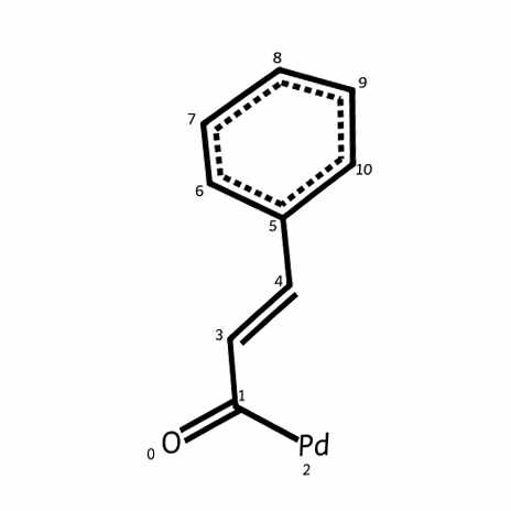 O=[C]([Pd])C=Cc1ccccc1